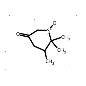 CC1CC(=O)C[S+]([O-])C1(C)C